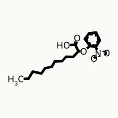 CCCCCCCCCCC(Oc1ccccc1[N+](=O)[O-])C(=O)O